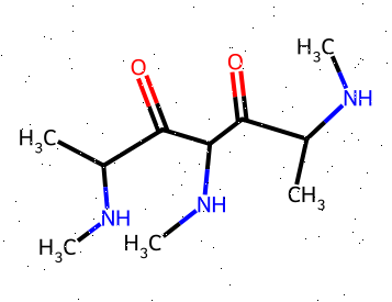 CNC(C)C(=O)C(NC)C(=O)C(C)NC